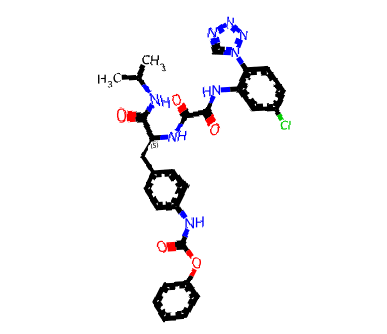 CC(C)NC(=O)[C@H](Cc1ccc(NC(=O)Oc2ccccc2)cc1)NC(=O)C(=O)Nc1cc(Cl)ccc1-n1cnnn1